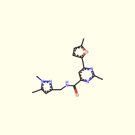 Cc1nc(C(=O)NCc2cc(C)n(C)n2)cc(-c2ccc(C)o2)n1